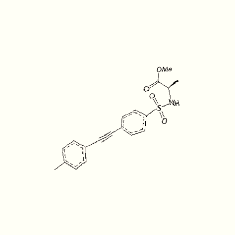 COC(=O)[C@@H](C)NS(=O)(=O)c1ccc(C#Cc2ccc(C)cc2)cc1